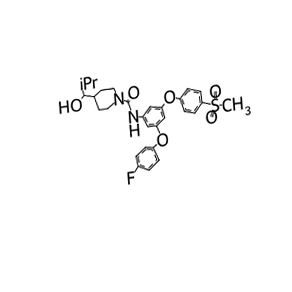 CC(C)C(O)C1CCN(C(=O)Nc2cc(Oc3ccc(F)cc3)cc(Oc3ccc(S(C)(=O)=O)cc3)c2)CC1